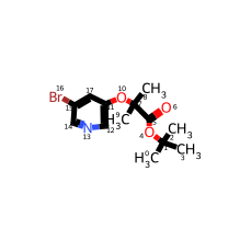 CC(C)(C)OC(=O)C(C)(C)Oc1cncc(Br)c1